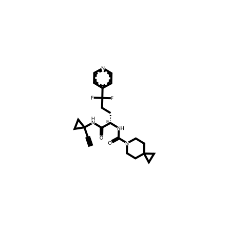 C#CC1(NC(=O)[C@H](CCC(F)(F)c2ccncc2)NC(=O)N2CCC3(CC2)CC3)CC1